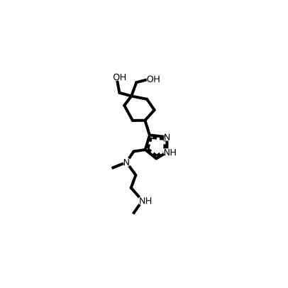 CNCCN(C)Cc1c[nH]nc1C1CCC(CO)(CO)CC1